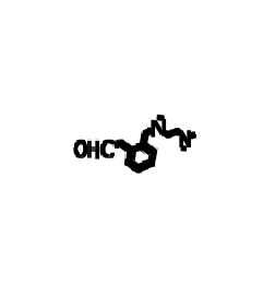 CN(C)CCN(C)Cc1ccccc1CC=O